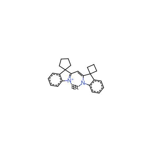 CCN1C(=CC2=[N+](CC)c3ccccc3C23CCCC3)C2(CCC2)c2ccccc21